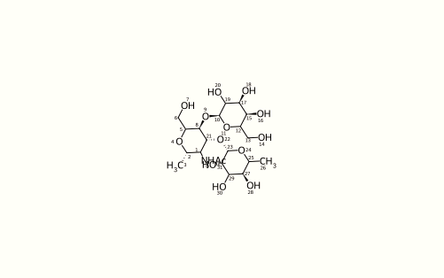 CC(=O)NC1[C@H](C)OC(CO)[C@@H](O[C@@H]2OC(CO)[C@H](O)[C@H](O)C2O)[C@@H]1O[C@@H]1OC(C)[C@@H](O)C(O)[C@@H]1O